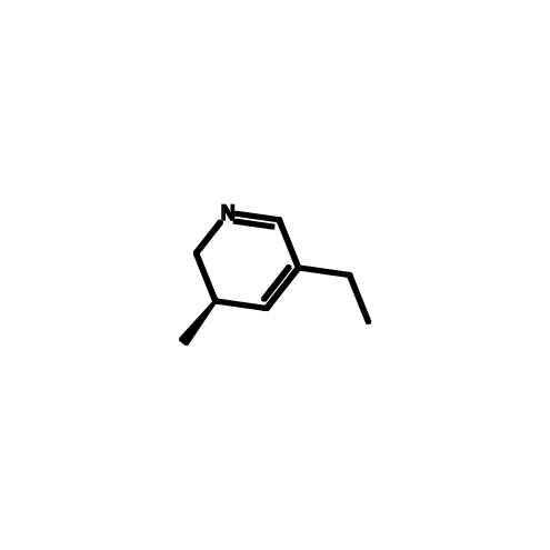 CCC1=C[C@@H](C)CN=C1